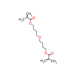 C=C(C)C(=O)OCCCCOCCCCOC(=O)C(=C)C